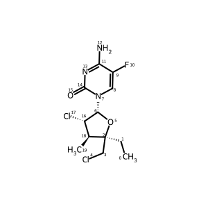 CC[C@@]1(CCl)O[C@@H](n2cc(F)c(N)nc2=O)[C@@H](Cl)[C@@H]1C